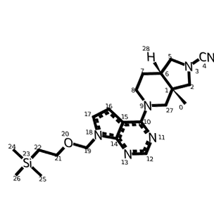 C[C@]12CN(C#N)C[C@H]1CCN(c1ncnc3c1ccn3COCC[Si](C)(C)C)C2